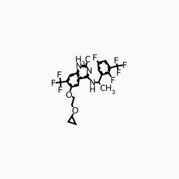 Cc1nc(N[C@H](C)c2cc(F)cc(C(F)(F)F)c2F)c2cc(OCCOC3CC3)c(C(F)(F)F)cc2n1